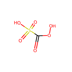 O=C(OO)S(=O)(=O)O